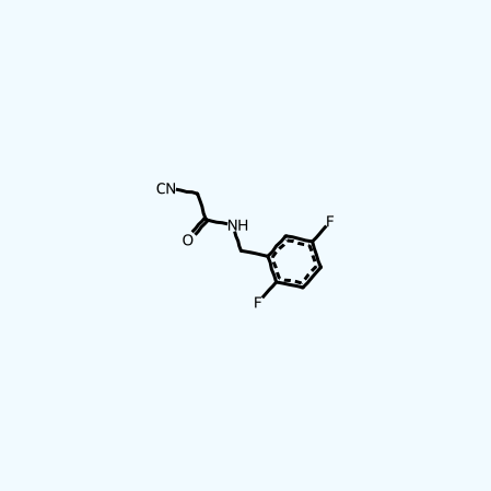 [C-]#[N+]CC(=O)NCc1cc(F)ccc1F